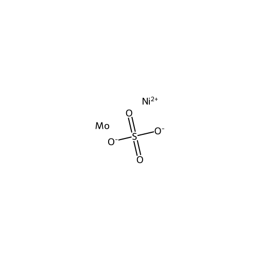 O=S(=O)([O-])[O-].[Mo].[Ni+2]